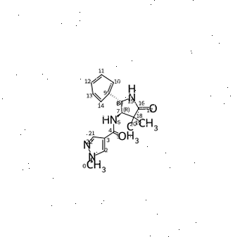 Cn1cc(C(=O)N[C@H]2[C@H](c3ccccc3)NC(=O)C2(C)C)cn1